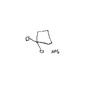 ClC1(Cl)CCC1.[SiH4]